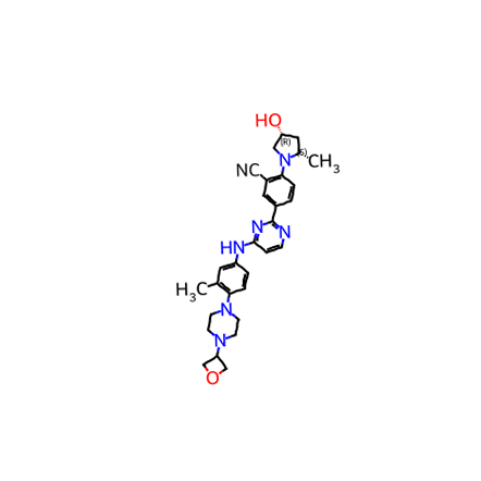 Cc1cc(Nc2ccnc(-c3ccc(N4C[C@H](O)C[C@@H]4C)c(C#N)c3)n2)ccc1N1CCN(C2COC2)CC1